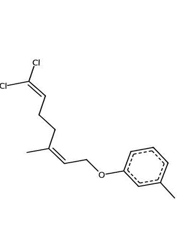 CC(=CCOc1cccc(C)c1)CCC=C(Cl)Cl